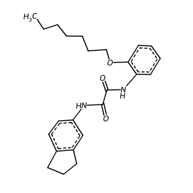 CCCCCCCOc1ccccc1NC(=O)C(=O)Nc1ccc2c(c1)CCC2